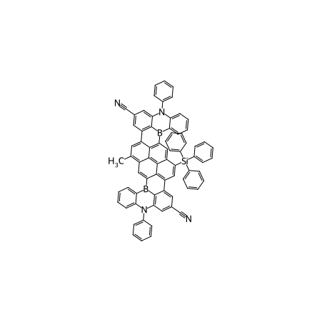 Cc1cc2c3c(cc4c([Si](c5ccccc5)(c5ccccc5)c5ccccc5)cc5c6c(cc1c3c46)B1c3ccccc3N(c3ccccc3)c3cc(C#N)cc-5c31)B1c3ccccc3N(c3ccccc3)c3cc(C#N)cc-2c31